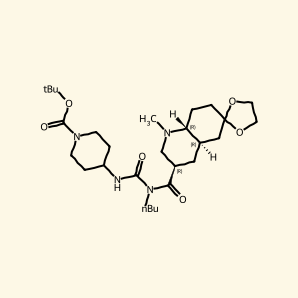 CCCCN(C(=O)NC1CCN(C(=O)OC(C)(C)C)CC1)C(=O)[C@@H]1C[C@@H]2CC3(CC[C@H]2N(C)C1)OCCO3